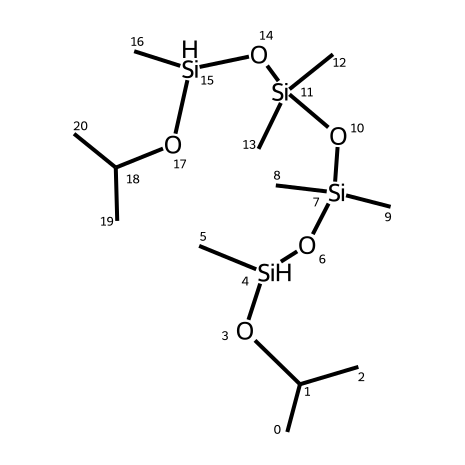 CC(C)O[SiH](C)O[Si](C)(C)O[Si](C)(C)O[SiH](C)OC(C)C